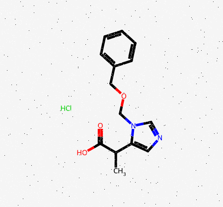 CC(C(=O)O)c1cncn1COCc1ccccc1.Cl